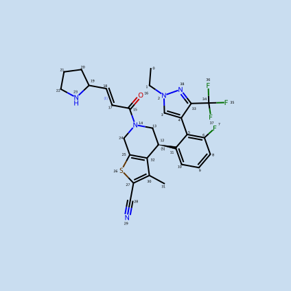 CCn1cc(-c2c(F)cccc2[C@@H]2CN(C(=O)/C=C/C3CCCN3)Cc3sc(C#N)c(C)c32)c(C(F)(F)F)n1